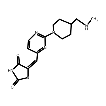 CNCC1CCN(c2nccc(/C=C3/SC(=O)NC3=O)n2)CC1